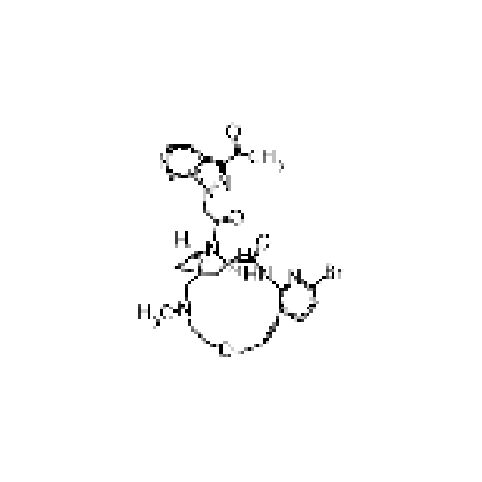 CC(=O)c1nn(CC(=O)N2[C@H]3C[C@]4(C[C@@H]24)CN(C)CCCCC=Cc2ccc(Br)nc2NC3=O)c2cnccc12